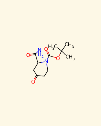 CC(C)(C)OC(=O)N1CCC(=O)CC1C(N)=O